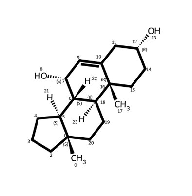 C[C@@]12CCC[C@H]1[C@@H]1[C@H](O)C=C3C[C@H](O)CC[C@]3(C)[C@H]1CC2